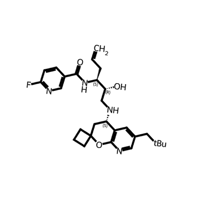 C=CC[C@H](NC(=O)c1ccc(F)nc1)[C@H](O)CN[C@H]1CC2(CCC2)Oc2ncc(CC(C)(C)C)cc21